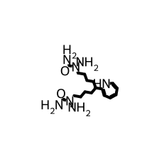 NC(=O)N(N)CCCCC(CCCCN(N)C(N)=O)C1=CC=CC=CN1